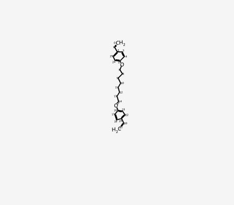 C=Cc1ccc(OCCCCCCCCOc2ccc(C=C)cc2)cc1